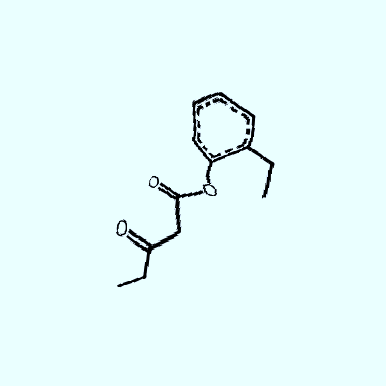 CCC(=O)CC(=O)Oc1ccccc1CC